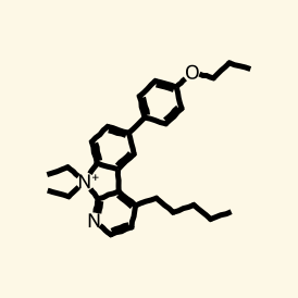 CCCCCc1ccnc2c1-c1cc(-c3ccc(OCCC)cc3)ccc1[N+]2(CC)CC